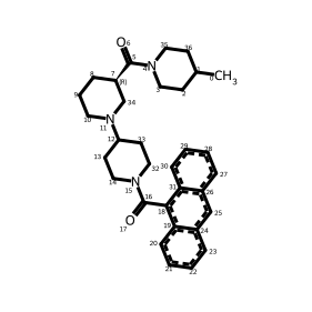 CC1CCN(C(=O)[C@@H]2CCCN(C3CCN(C(=O)c4c5ccccc5cc5ccccc45)CC3)C2)CC1